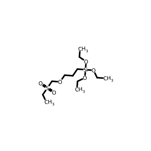 CCO[Si](CCCOCS(=O)(=O)CC)(OCC)OCC